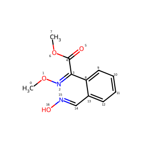 CON=C(C(=O)OC)c1ccccc1C=NO